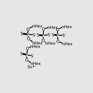 CCCCCCOP(=S)([S-])OCCCCCC.CCCCCCOP(=S)([S-])OCCCCCC.CCCCCCOP(=S)([S-])OCCCCCC.CCCCCCOP(=S)([S-])OCCCCCC.[Sn+4]